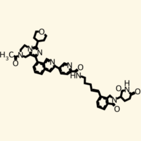 CC(=O)N1CCn2c(C3CCOCC3)nc(-c3cccc4cc(-c5ccc(C(=O)NCCC/C=C/c6cccc7c6CN(C6CCC(=O)NC6=O)C7=O)nc5)ncc34)c2C1